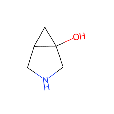 OC12CNCC1C2